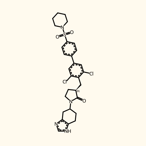 O=C1[C@H](Cc2c(Cl)cc(-c3ccc(S(=O)(=O)N4CCCCC4)cc3)cc2Cl)CCN1C1CCc2[nH]cnc2C1